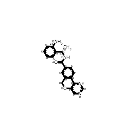 C[C@H](NC(=O)c1ccc2c(c1)COc1cncnc1-2)c1ccccc1N